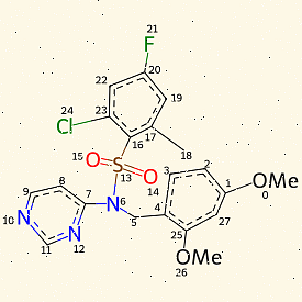 COc1ccc(CN(c2ccncn2)S(=O)(=O)c2c(C)cc(F)cc2Cl)c(OC)c1